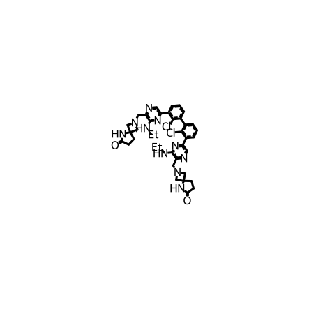 CCNc1nc(-c2cccc(-c3cccc(-c4cnc(CN5CC6(CCC(=O)N6)C5)c(NCC)n4)c3Cl)c2Cl)cnc1CN1CC2(CCC(=O)N2)C1